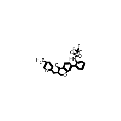 Bc1ccc(CC2COc3cc(-c4ccccc4NS(=O)(=O)C(F)(F)F)ccc3C2=O)nc1